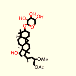 COC(COC(C)=O)C[C@@H](C)[C@H]1C[C@H](O)[C@@]2(C)C3CC[C@H]4C(C)(C)C(OC5OC[C@@H](O)C(O)[C@H]5O)CCC45CC35CCC12C